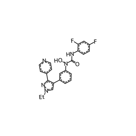 CCn1cc(-c2cccc(N(O)C(=O)Nc3ccc(F)cc3F)c2)c(-c2ccncc2)n1